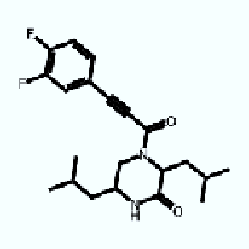 CC(C)CC1CN(C(=O)C#Cc2ccc(F)c(F)c2)C(CC(C)C)C(=O)N1